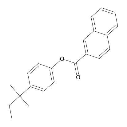 CCC(C)(C)c1ccc(OC(=O)c2ccc3ccccc3c2)cc1